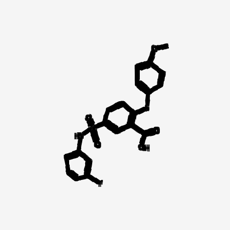 COc1ccc(Sc2ccc(S(=O)(=O)Nc3cccc(F)c3)cc2C(=O)O)cc1